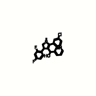 CN1CC(c2ccc(F)cc2F)C(C(O)c2cccnc2)=C1c1cccc(Cl)c1